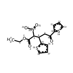 CCOC(=O)C(C(CC(=O)c1cccs1)c1cccs1)[N+](=O)[O-]